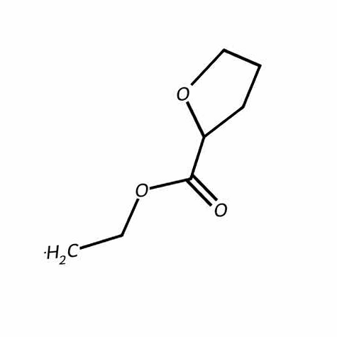 [CH2]COC(=O)C1CCCO1